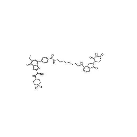 CCn1cc(-c2ccc(C(=O)NCCCCCCCCNc3cccc4c3CN(C3CCC(=O)NC3=O)C4=O)cc2)c2sc(C(=N)NC3CCS(=O)(=O)CC3)cc2c1=O